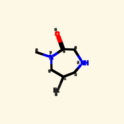 CCC1CNCC(=O)N(C)C1